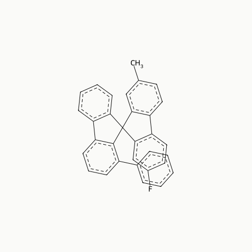 Cc1ccc2c(c1)C1(c3cc(F)ccc3-2)c2ccccc2-c2cccc(-c3ccccc3)c21